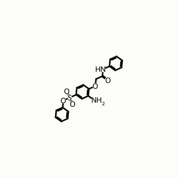 Nc1cc(S(=O)(=O)Oc2ccccc2)ccc1OCC(=O)Nc1ccccc1